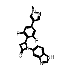 Cn1cc(-c2cc(F)c(C3CC(=O)N3c3ccc4[nH]cnc4c3)c(F)c2)cn1